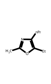 CCCc1nc(C)oc1CC